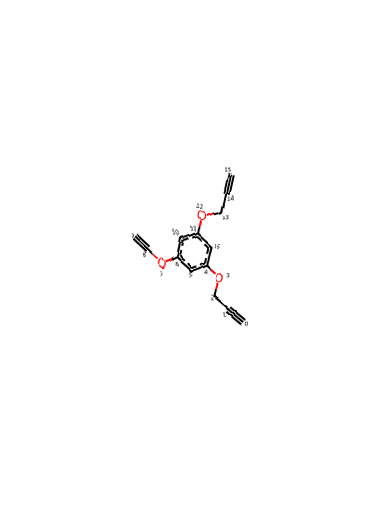 C#CCOc1cc(OC#C)cc(OCC#C)c1